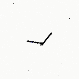 CCCCCC/C=C/CCCCCCCCCC(=O)OC(=O)CCCCCCCCC/C=C/CCCCCC